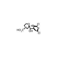 CC(C)(C)[C@]1(C(O)c2cc(Cl)nc(Cl)c2)CN(C(=O)O)CCO1